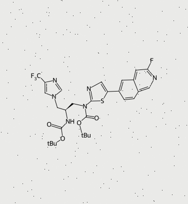 CC(C)(C)OC(=O)N[C@H](CN(C(=O)OC(C)(C)C)c1ncc(-c2ccc3cnc(F)cc3c2)s1)Cn1cnc(C(F)(F)F)c1